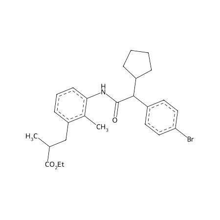 CCOC(=O)C(C)Cc1cccc(NC(=O)C(c2ccc(Br)cc2)C2CCCC2)c1C